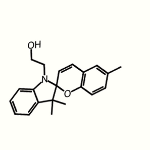 Cc1ccc2c(c1)C=CC1(O2)N(CCO)c2ccccc2C1(C)C